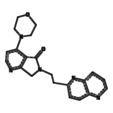 O=C1c2c(N3CCOCC3)ccnc2CN1CCc1ccc2ncccc2n1